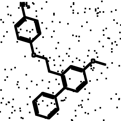 COc1ccc(-c2ccccc2)c(CCOc2ccc(N)cc2)c1